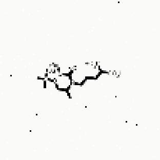 CC(CO[Si](C)(C)C(C)(C)C)N(CCCC(C(=O)O)C(=O)O)C(=O)OC(C)(C)C